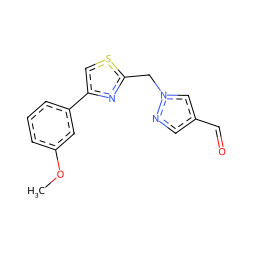 COc1cccc(-c2csc(Cn3cc(C=O)cn3)n2)c1